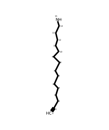 C#CCCCCCCCCCCCCC[NH]